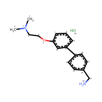 CN(C)CCOc1cccc(-c2ccc(CN)cc2)c1.Cl